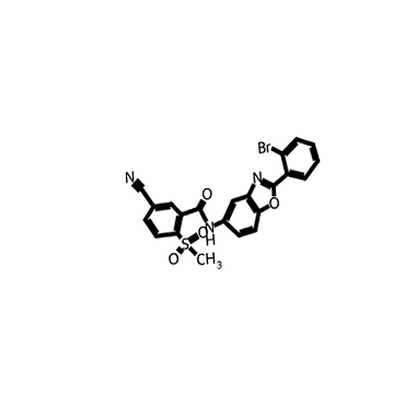 CS(=O)(=O)c1ccc(C#N)cc1C(=O)Nc1ccc2oc(-c3ccccc3Br)nc2c1